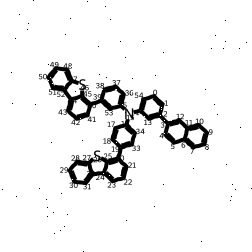 c1cc(-c2ccc3ccccc3c2)cc(N(c2ccc(-c3cccc4c3sc3ccccc34)cc2)c2cccc(-c3cccc4c3sc3ccccc34)c2)c1